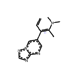 C=C/C(=C(/C)N(C)C)c1cnc2ncnn2c1